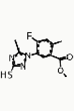 COC(=O)c1cc(-n2nc(S)nc2C)c(F)cc1C